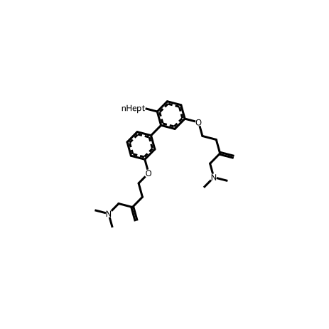 C=C(CCOc1cccc(-c2cc(OCCC(=C)CN(C)C)ccc2CCCCCCC)c1)CN(C)C